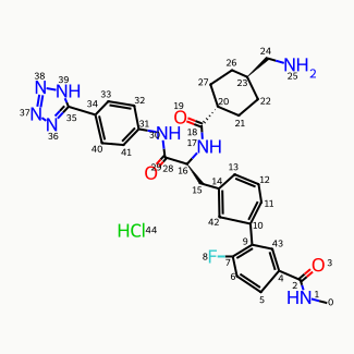 CNC(=O)c1ccc(F)c(-c2cccc(C[C@H](NC(=O)[C@H]3CC[C@H](CN)CC3)C(=O)Nc3ccc(-c4nnn[nH]4)cc3)c2)c1.Cl